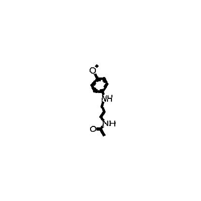 COc1ccc(NCCCNC(C)=O)cc1